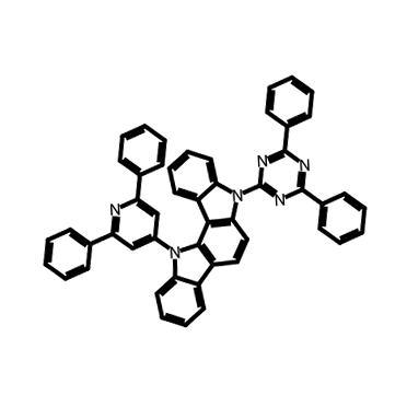 c1ccc(-c2cc(-n3c4ccccc4c4ccc5c(c6ccccc6n5-c5nc(-c6ccccc6)nc(-c6ccccc6)n5)c43)cc(-c3ccccc3)n2)cc1